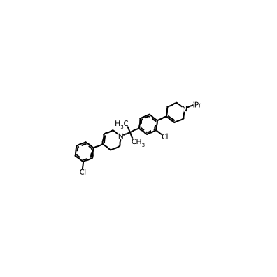 CC(C)N1CC=C(c2ccc(C(C)(C)N3CC=C(c4cccc(Cl)c4)CC3)cc2Cl)CC1